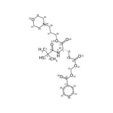 CC(C)(S)C(=O)N[C@@H](CSC(=O)OCOC(=O)c1ccccc1)C(=O)OCCCN1CCOCC1